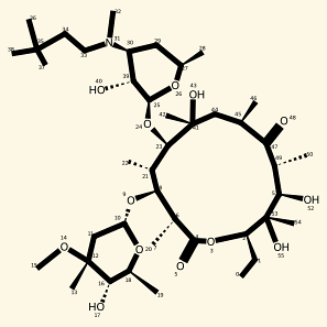 CC[C@H]1OC(=O)[C@H](C)[C@@H](O[C@H]2C[C@@](C)(OC)[C@@H](O)[C@H](C)O2)[C@H](C)[C@@H](O[C@@H]2O[C@H](C)C[C@H](N(C)CCC(C)(C)C)[C@H]2O)[C@](C)(O)C[C@@H](C)C(=O)[C@H](C)[C@@H](O)[C@]1(C)O